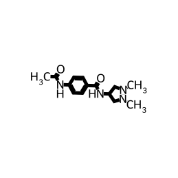 CC(=O)Nc1ccc(C(=O)NC2CN(C)N(C)C2)cc1